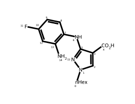 CCCCCCn1cc(C(=O)O)c(Nc2ccc(F)cc2N)n1